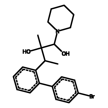 CC(c1ccccc1-c1ccc(Br)cc1)C(C)(O)C(O)N1CCCCC1